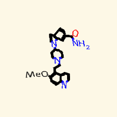 COc1ccc2ncccc2c1CCN1CCC(n2ccc3ccc(C(N)=O)cc32)CC1